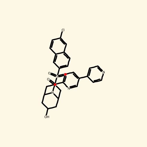 O=C(c1ncc(-c2ccncc2)cn1)N1C2CC(O)CC1CN(S(=O)(=O)c1ccc3cc(Cl)ccc3c1)C2